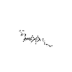 C#CCOC1CC2(C1)CN(C(=O)OC(C)(C)C)C2